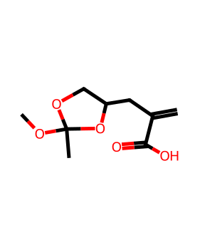 C=C(CC1COC(C)(OC)O1)C(=O)O